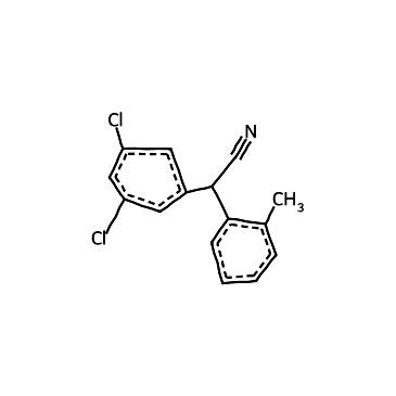 Cc1ccccc1C(C#N)c1cc(Cl)cc(Cl)c1